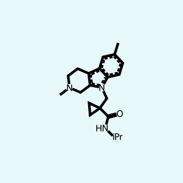 Cc1ccc2c(c1)c1c(n2CC2(C(=O)NC(C)C)CC2)CN(C)CC1